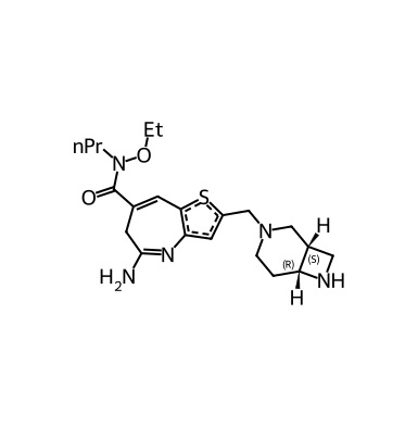 CCCN(OCC)C(=O)C1=Cc2sc(CN3CC[C@H]4NC[C@H]4C3)cc2N=C(N)C1